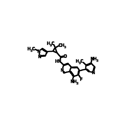 Cc1c(N)cncc1-c1cc2cc(NC(=O)C3C(c4cnn(C)c4)C3(C)C)ncc2c(N)c1F